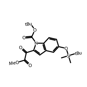 COC(=O)C(=O)c1cc2cc(O[Si](C)(C)C(C)(C)C)ccc2n1C(=O)OC(C)(C)C